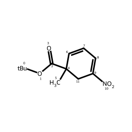 CC(C)(C)OC(=O)C1(C)C=CC=C([N+](=O)[O-])C1